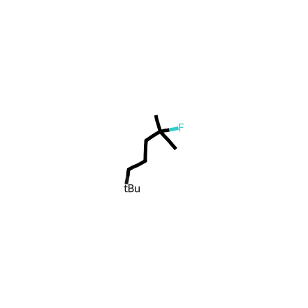 CC(C)(C)CCCC(C)(C)F